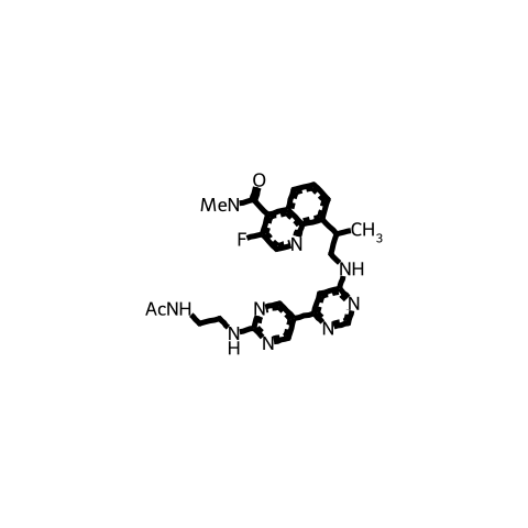 CNC(=O)c1c(F)cnc2c(C(C)CNc3cc(-c4cnc(NCCNC(C)=O)nc4)ncn3)cccc12